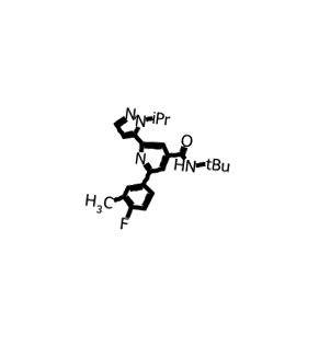 Cc1cc(-c2cc(C(=O)NC(C)(C)C)cc(-c3ccnn3C(C)C)n2)ccc1F